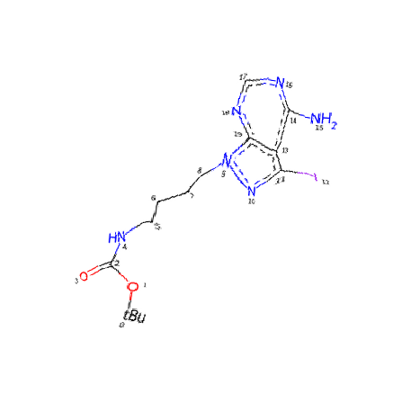 CC(C)(C)OC(=O)NCCCCn1nc(I)c2c(N)ncnc21